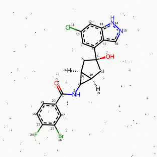 O=C(NC1[C@H]2C[C@](O)(c3cc(Cl)cc4[nH]ncc34)C[C@@H]12)c1ccc(F)c(Br)c1